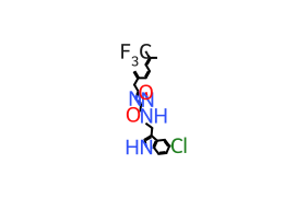 C=C(/C=C\C=C(/C)C(F)(F)F)Cc1nc(C(=O)NCCc2c[nH]c3ccc(Cl)cc23)no1